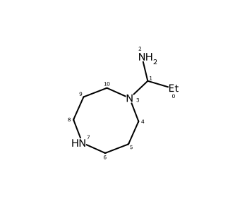 CCC(N)N1CCCNCCC1